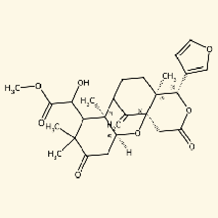 C=C1C2CC[C@@]3(C)[C@H](c4ccoc4)OC(=O)C[C@]13O[C@H]1CC(=O)C(C)(C)C(C(O)C(=O)OC)[C@@]21C